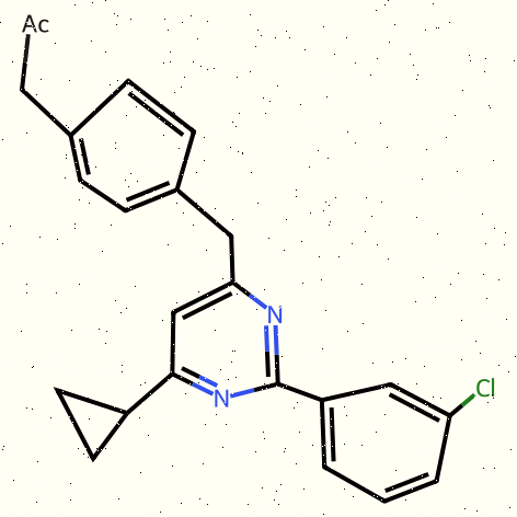 CC(=O)Cc1ccc(Cc2cc(C3CC3)nc(-c3cccc(Cl)c3)n2)cc1